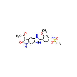 COc1cc(NS(C)(=O)=O)ccc1C1Nc2cc3c(cc2N1)C(C(C)=O)C(=O)N3